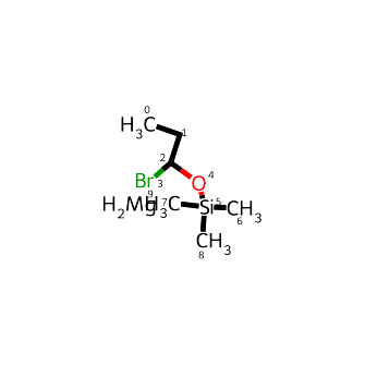 CCC(Br)O[Si](C)(C)C.[MgH2]